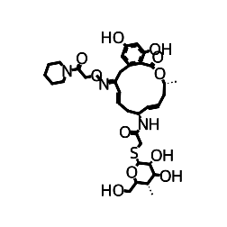 C[C@@H]1C(CO)O[C@@H](SCC(=O)N[C@@H]2/C=C/C[C@@H](C)OC(=O)c3c(O)cc(O)cc3CC(=N\OCC(=O)N3CCCCC3)/C=C/C2)[C@@H](O)C1O